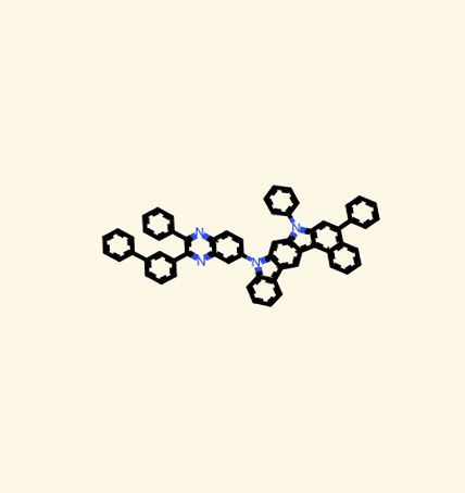 c1ccc(-c2cccc(-c3nc4cc(-n5c6ccccc6c6cc7c8c9ccccc9c(-c9ccccc9)cc8n(-c8ccccc8)c7cc65)ccc4nc3-c3ccccc3)c2)cc1